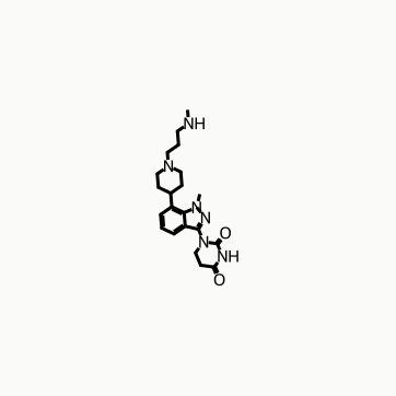 CNCCCN1CCC(c2cccc3c(N4CCC(=O)NC4=O)nn(C)c23)CC1